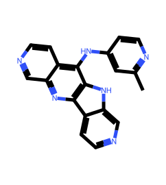 Cc1cc(Nc2c3ccncc3nc3c2[nH]c2cnccc23)ccn1